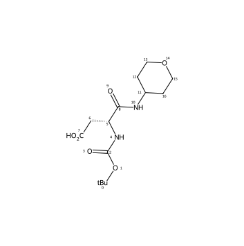 CC(C)(C)OC(=O)N[C@H](CC(=O)O)C(=O)NC1CCOCC1